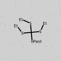 CCCCCC(SCC)(SCC)SCC